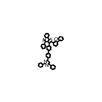 c1ccc(-c2cc(-c3ccc(-c4ccc(-c5c(-c6cccc7c6oc6ccccc67)sc6c5c(-c5ccccc5)nc5ccccc56)cc4)cc3)nc(-c3ccccc3)n2)cc1